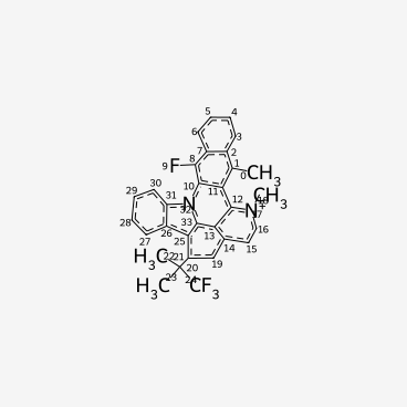 Cc1c2ccccc2c(F)c2c1c1c3c(cc[n+]1C)cc(C(C)(C)C(F)(F)F)c1c4ccccc4n2c13